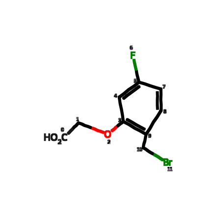 O=C(O)COc1cc(F)ccc1CBr